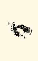 CCCN1C(=O)N(Cc2ccc(C)cc2)C[C@H]1CCOc1ccc(O[C@H](OC)C(=O)O)cc1